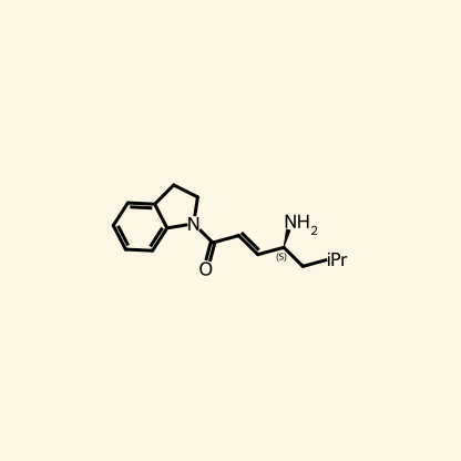 CC(C)C[C@H](N)C=CC(=O)N1CCc2ccccc21